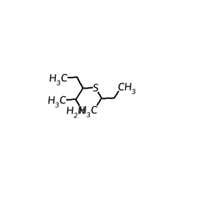 CCC(C)SC(CC)C(C)N